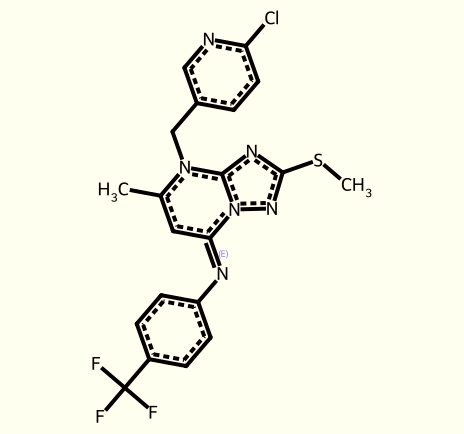 CSc1nc2n(Cc3ccc(Cl)nc3)c(C)c/c(=N\c3ccc(C(F)(F)F)cc3)n2n1